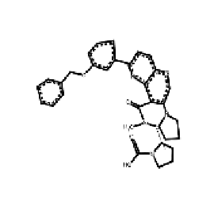 CN(C[C@@H]1CCCN1C(=O)O)C(=O)c1c(N2CCCC2)cnc2ccc(-c3cccc(OCc4ccccc4)c3)nc12